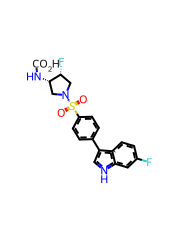 O=C(O)N[C@H]1CN(S(=O)(=O)c2ccc(-c3c[nH]c4cc(F)ccc34)cc2)C[C@H]1F